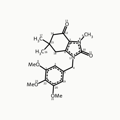 COc1cc(Cn2c3c(n(C)c2=O)C(=O)CC(C)(C)C3)cc(OC)c1OC